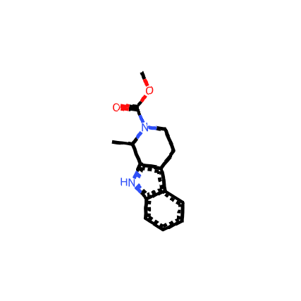 COC(=O)N1CCc2c([nH]c3ccccc23)C1C